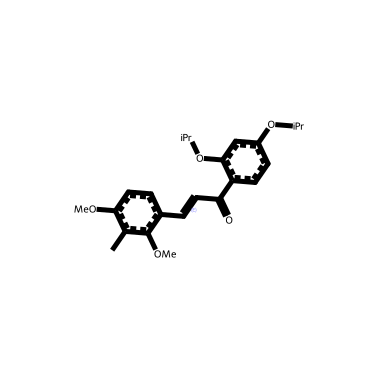 COc1ccc(/C=C/C(=O)c2ccc(OC(C)C)cc2OC(C)C)c(OC)c1C